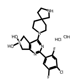 Cl.Cl.OS1(O)Cc2nc(-c3cc(F)c(Cl)cc3F)nc(N3CCC4(CCNC4)CC3)c2C1